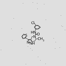 CC1Cc2[nH]nc(-c3cccs3)c2CN1C(=O)Nc1cccc(Cl)c1